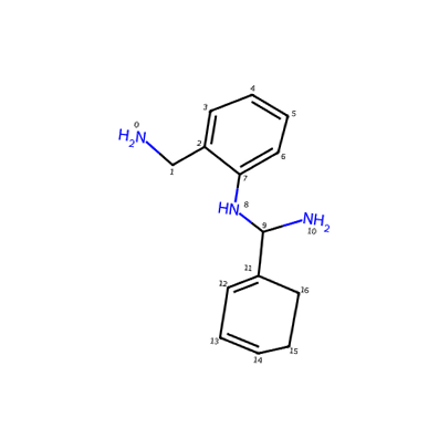 NCc1ccccc1NC(N)C1=CC=CCC1